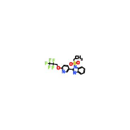 CCS(=O)(=O)n1c(-c2ccc(OCC(F)(F)C(F)(F)F)nc2)nc2ccccc21